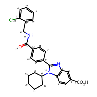 O=C(O)c1ccc2c(c1)nc(-c1ccc(C(=O)NCc3ccccc3Cl)cc1)n2C1CCCCC1